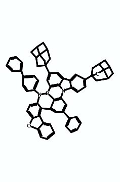 c1ccc(-c2ccc(N3B4c5c(cc(-c6ccccc6)cc5-n5c6ccc(C78CC9CC%10CC(C7)C%109C8)cc6c6cc(C78CC9CC%10CC(C7)C%109C8)cc4c65)-c4c3ccc3oc5ccccc5c43)cc2)cc1